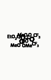 CCOC(=O)N1c2cc(OC)c(OC)cc2C(C(O)(C(=O)OC)c2cc(C(F)(F)F)cc(C(F)(F)F)c2)=C[C@H]1C